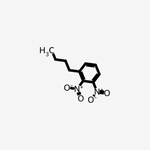 CCCCc1cccc([N+](=O)[O-])c1[N+](=O)[O-]